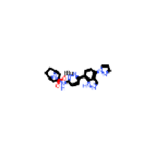 CC(C)(C)OC(=O)N1C2CCC1CC(Nc1ccc(-c3ccc(-n4cccn4)c4cn[nH]c34)nn1)C2